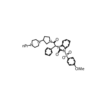 CCCN1CCN(C2CCN(C(=O)C(c3ccccc3)n3c(=O)n(S(=O)(=O)c4ccc(OC)cc4)c4ccccc43)C2)CC1